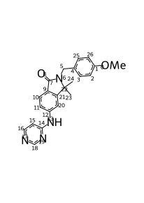 COc1ccc(CN2C(=O)c3ccc(Nc4ccncn4)cc3C2(C)C)cc1